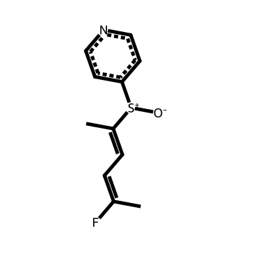 C/C(F)=C\C=C(/C)[S+]([O-])c1ccncc1